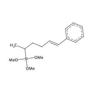 CO[Si](OC)(OC)C(C)CCC=Cc1ccccc1